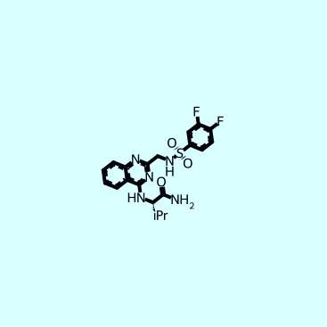 CC(C)[C@H](Nc1nc(CNS(=O)(=O)c2ccc(F)c(F)c2)nc2ccccc12)C(N)=O